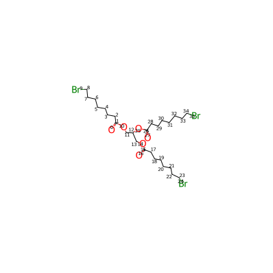 O=C(CCCCCCCBr)OCC(COC(=O)CCCCCCCBr)OC(=O)CCCCCCCBr